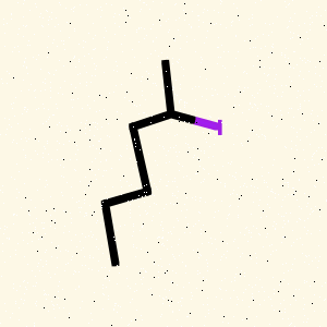 CCCCC(C)I